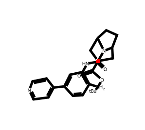 CC(C)(C)OC(=O)N1CC2CCC(C1)N2C(=O)Nc1cc(-c2ccncc2)ccc1N